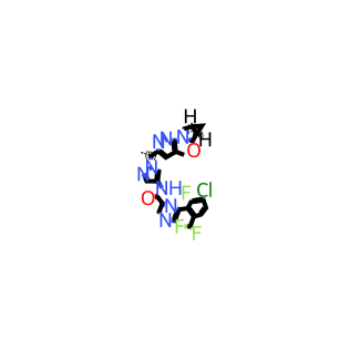 Cc1cc([C@@H](C)n2cc(NC(=O)c3cncc(-c4c(C(F)F)ccc(Cl)c4F)n3)cn2)nnc1N1C[C@H]2C[C@H]2C1=O